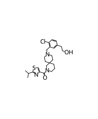 CC(C)c1nc(C(=O)N2CCCC3(CCN(Cc4cc(CCO)ccc4Cl)CC3)C2)cs1